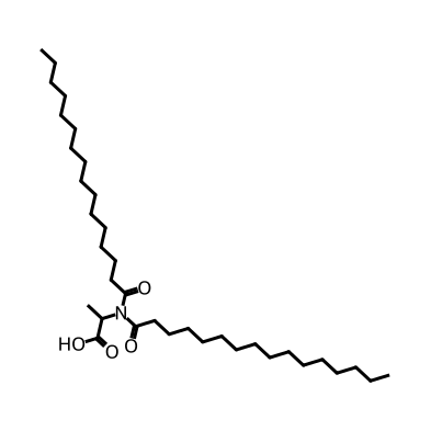 CCCCCCCCCCCCCCCC(=O)N(C(=O)CCCCCCCCCCCCCCC)C(C)C(=O)O